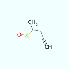 C#CCC([CH2])[S+]=O